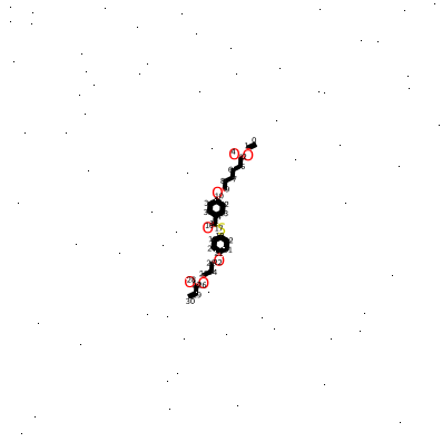 C=COC(=O)CCCCCOc1ccc(C(=O)Sc2ccc(OCCCOC(=O)C=C)cc2)cc1